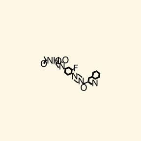 CC(=O)NC[C@H]1CN(c2ccc(N3CCN(C(=O)c4cnc5ccccc5c4)CC3)c(F)c2)C(=O)O1